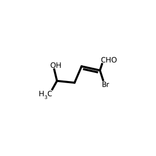 CC(O)CC=C(Br)C=O